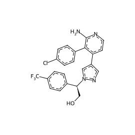 Nc1nccc(-c2cnn([C@@H](CO)c3ccc(C(F)(F)F)cc3)c2)c1-c1ccc(Cl)cc1